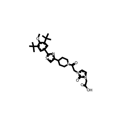 COc1c(C(C)(C)C)cc(-c2nc(C3CCN(C(=O)Cn4ccn(CC(=O)O)c4=O)CC3)cs2)cc1C(C)(C)C